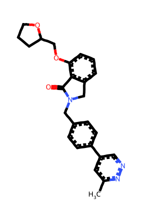 Cc1cc(-c2ccc(CN3Cc4cccc(OCC5CCCO5)c4C3=O)cc2)cnn1